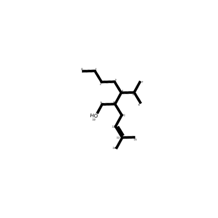 CCCCC(C(C)C)C(CO)CC=C(C)C